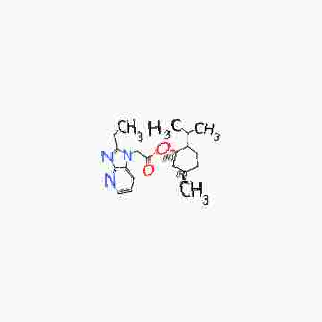 CCc1nc2ncccc2n1CC(=O)O[C@@H]1C[C@H](C)CCC1C(C)C